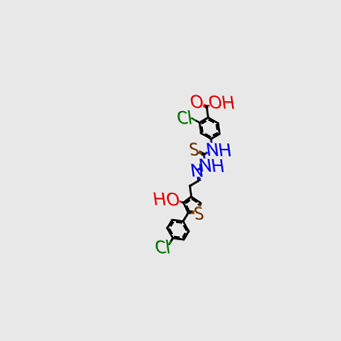 O=C(O)c1ccc(NC(=S)NN=CCc2csc(-c3ccc(Cl)cc3)c2O)cc1Cl